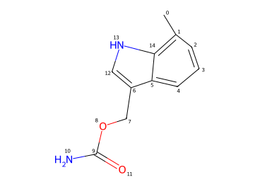 Cc1cccc2c(COC(N)=O)c[nH]c12